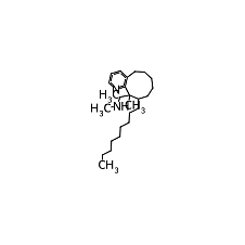 CCCCCCCCCC1CCCCCc2cccnc2C1(C)C(C)NC